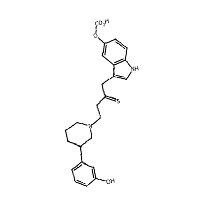 O=C(O)Oc1ccc2[nH]cc(CC(=S)CCN3CCCC(c4cccc(O)c4)C3)c2c1